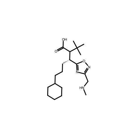 CNCc1noc([C@H](CCCC2CCCCC2)C(C(=O)O)C(C)(C)C)n1